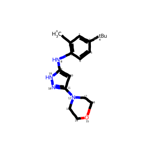 Cc1cc(C(C)(C)C)ccc1Nc1cc(N2CCOCC2)n[nH]1